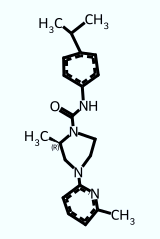 Cc1cccc(N2CCN(C(=O)Nc3ccc(C(C)C)cc3)[C@H](C)C2)n1